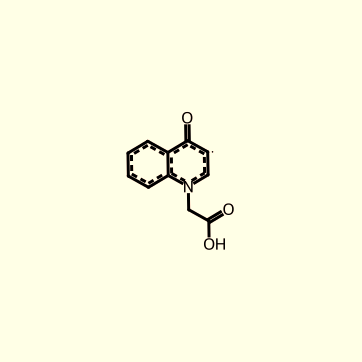 O=C(O)Cn1c[c]c(=O)c2ccccc21